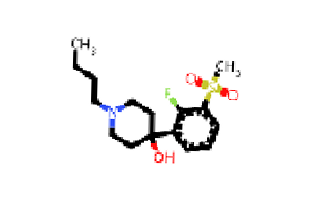 CCCCN1CCC(O)(c2cccc(S(C)(=O)=O)c2F)CC1